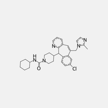 Cc1nccn1CC1=Cc2cccnc2C(C2CCN(C(=O)NC3CCCCC3)CC2)c2ccc(Cl)cc21